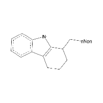 CCCCCCCCCCC1CCCC2=C1[N]c1ccccc12